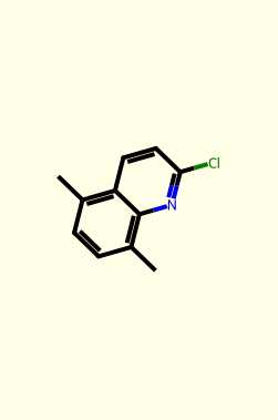 Cc1ccc(C)c2nc(Cl)ccc12